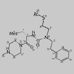 CSC[C@H](NC(=O)N(CCSC(C)=O)CCc1ccccc1)C(=O)N1CCN(C)CC1